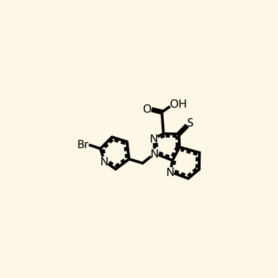 O=C(O)c1nn(Cc2ccc(Br)nc2)c2ncccc2c1=S